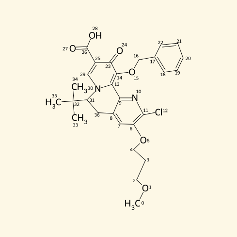 COCCCOc1cc2c(nc1Cl)-c1c(OCc3ccccc3)c(=O)c(C(=O)O)cn1C(C(C)(C)C)C2